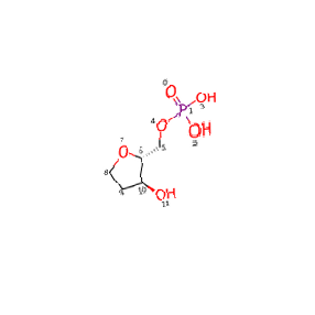 O=P(O)(O)OC[C@H]1OCC[C@@H]1O